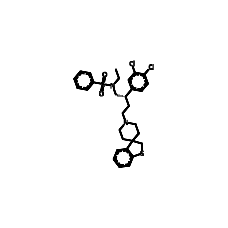 CCN(C[C@@H](CCN1CCC2(CC1)CSc1ccccc12)c1ccc(Cl)c(Cl)c1)S(=O)(=O)c1ccccc1